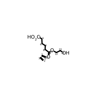 C=C.C=C.O=C(O)CCCCC(=O)OCCO